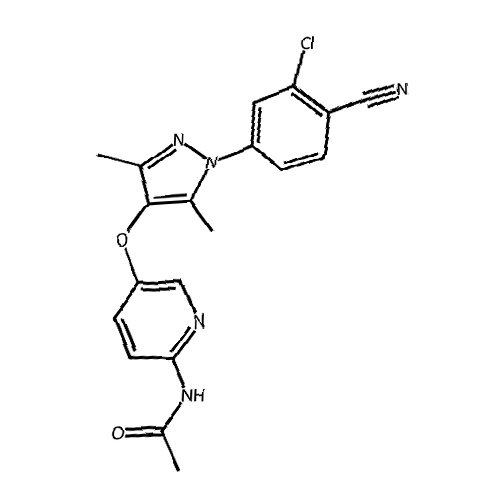 CC(=O)Nc1ccc(Oc2c(C)nn(-c3ccc(C#N)c(Cl)c3)c2C)cn1